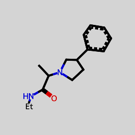 CCNC(=O)C(C)N1CCC(c2ccccc2)C1